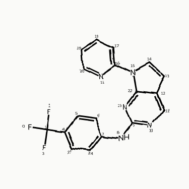 FC(F)(F)c1ccc(Nc2ncc3ccn(-c4ccccn4)c3n2)cc1